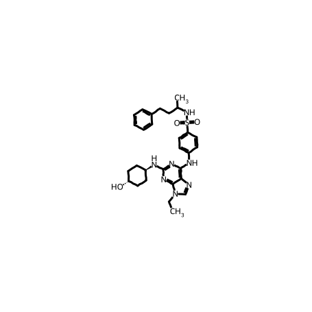 CCn1cnc2c(Nc3ccc(S(=O)(=O)NC(C)CCc4ccccc4)cc3)nc(N[C@H]3CC[C@H](O)CC3)nc21